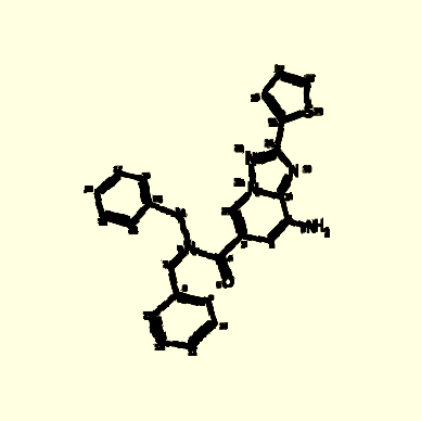 Nc1cc(C(=O)N(Cc2ccccc2)Cc2ccccc2)cn2nc(-c3cccs3)nc12